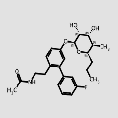 CCC[C@H]1O[C@@H](Oc2ccc(CCNC(C)=O)c(-c3cccc(F)c3)c2)[C@H](O)[C@H](O)[C@H]1C